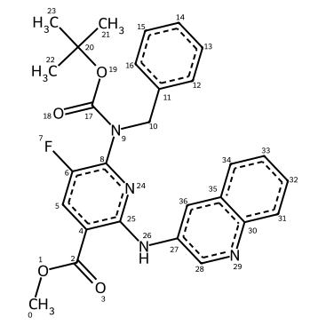 COC(=O)c1cc(F)c(N(Cc2ccccc2)C(=O)OC(C)(C)C)nc1Nc1cnc2ccccc2c1